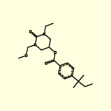 CCN1CC(OC(=O)c2ccc(C(C)(C)CC)cc2)CN(COC)C1=O